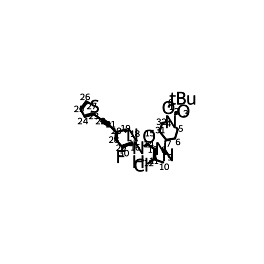 CC(C)(C)OC(=O)N1CCC(n2ncc(Cl)c2C(=O)Nc2ncc(C#Cc3cccs3)cc2F)CC1